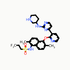 Cc1ccc2c(Oc3ncccc3-c3ccnc(NC4CCCNC4)n3)c(C)ccc2c1NS(=O)(=O)CCC(F)(F)F